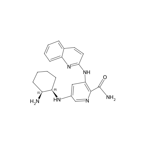 NC(=O)c1ncc(N[C@@H]2CCCC[C@@H]2N)cc1Nc1ccc2ccccc2n1